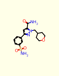 NC(=O)c1cc(-c2cccc(S(N)(=O)=O)c2)nn1CC1CCOCC1